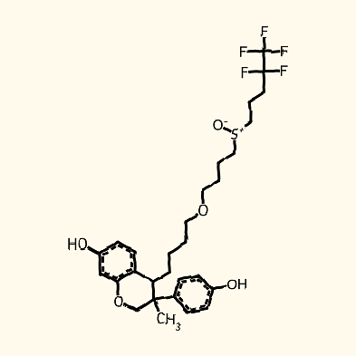 CC1(c2ccc(O)cc2)COc2cc(O)ccc2C1CCCCOCCCC[S+]([O-])CCCC(F)(F)C(F)(F)F